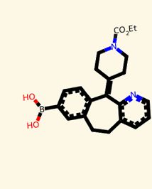 CCOC(=O)N1CCC(=C2c3ccc(B(O)O)cc3CCc3cccnc32)CC1